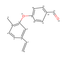 C=Cc1ccc(C)c(Oc2ccc(C=O)cc2)c1